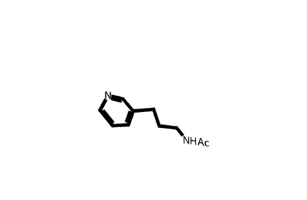 CC(=O)NCCCc1cccnc1